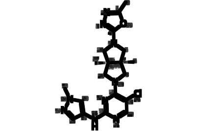 Cc1nnc(N2C[C@@]3(C)CN(c4nc(Nc5cnn(C)c5)ncc4Cl)C[C@@]3(C)C2)o1